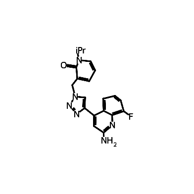 CC(C)n1cccc(Cn2cc(-c3cc(N)nc4c(F)cccc34)nn2)c1=O